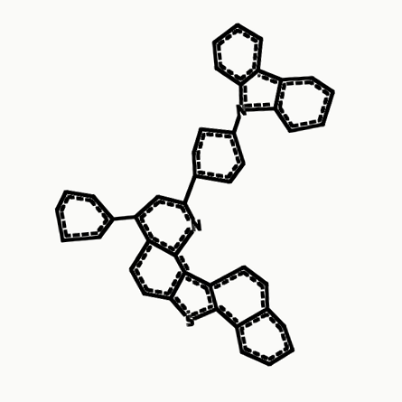 c1ccc(-c2cc(-c3ccc(-n4c5ccccc5c5ccccc54)cc3)nc3c2ccc2sc4c5ccccc5ccc4c23)cc1